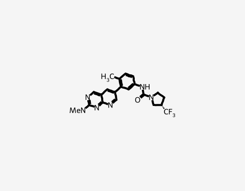 CNc1ncc2cc(-c3cc(NC(=O)N4CC[C@H](C(F)(F)F)C4)ccc3C)cnc2n1